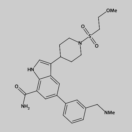 CNCc1cccc(-c2cc(C(N)=O)c3[nH]cc(C4CCN(S(=O)(=O)CCOC)CC4)c3c2)c1